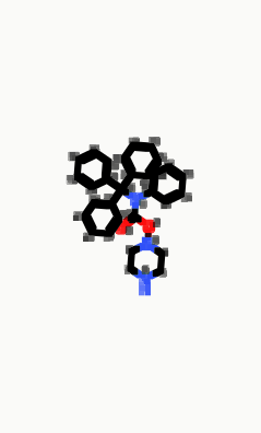 O=C(ON1CCNCC1)N(c1ccccc1)C(c1ccccc1)(c1ccccc1)c1ccccc1